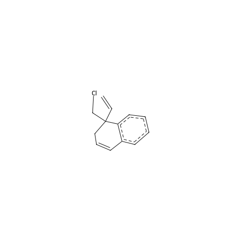 C=CC1(CCl)CC=Cc2ccccc21